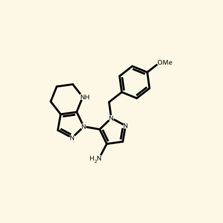 COc1ccc(Cn2ncc(N)c2-n2ncc3c2NCCC3)cc1